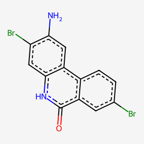 Nc1cc2c(cc1Br)[nH]c(=O)c1cc(Br)ccc12